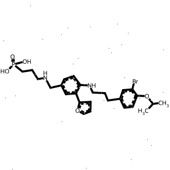 CC(C)Oc1ccc(CCCNc2ccc(CNCCCP(=O)(O)O)cc2-c2ccco2)cc1Br